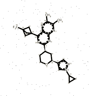 Cc1nc2nc([C@@H]3CCO[C@H](c4cnn(C5CC5)c4)C3)nc(C34CC(C(F)(F)F)(C3)C4)c2nc1C